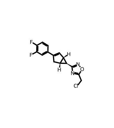 Fc1ccc(C2=C[C@H]3[C@@H](C2)[C@@H]3c2noc(CCl)n2)cc1F